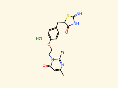 CCc1nc(C)cc(=O)n1CCOc1ccc(CC2SC(=N)NC2=O)cc1.Cl